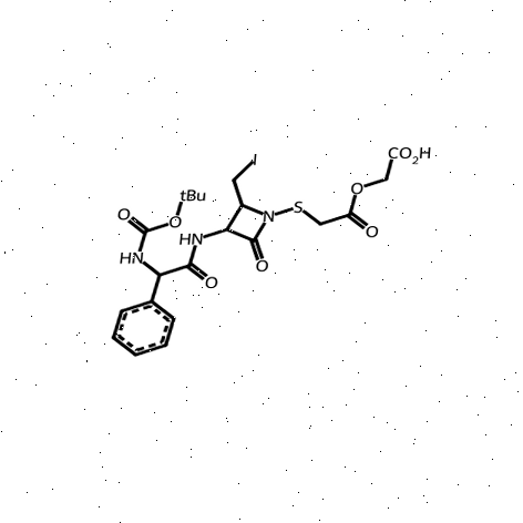 CC(C)(C)OC(=O)NC(C(=O)NC1C(=O)N(SCC(=O)OCC(=O)O)C1CI)c1ccccc1